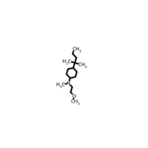 CCCC(C)(C)C1CCC(N(C)CCOC)CC1